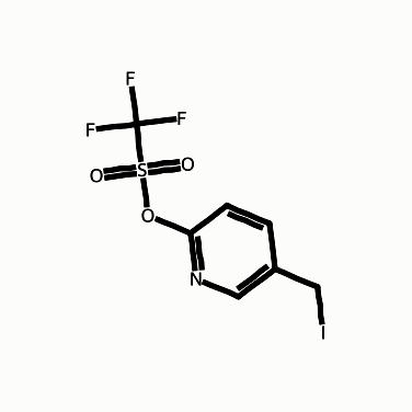 O=S(=O)(Oc1ccc(CI)cn1)C(F)(F)F